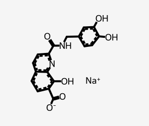 O=C(NCc1ccc(O)c(O)c1)c1ccc2ccc(C(=O)[O-])c(O)c2n1.[Na+]